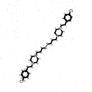 Clc1ccc(CCN2CCN(CCCSSCCCN3CCN(CCc4ccc(Cl)cc4)CC3)CC2)cc1